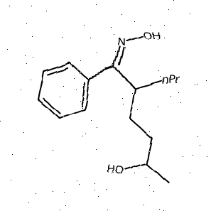 CCCC(CCC(C)O)C(=NO)c1ccccc1